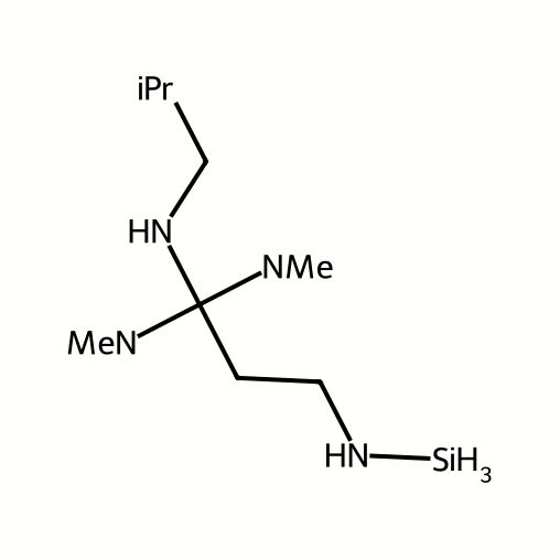 CNC(CCN[SiH3])(NC)NCC(C)C